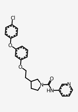 O=C(Nc1cccnc1)N1CCC(CCOc2cccc(Oc3ccc(Cl)cc3)c2)C1